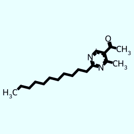 CCCCCCCCCCCc1n[c]c(C(C)=O)c(C)n1